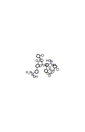 COC(=O)[C@@H]1CC[C@H](c2ccccc2Cl)N1C(=O)c1ccccc1-c1cccc(/C(N)=N\O)c1.N/C(=N/O)c1cccc(-c2ccc(C(=O)N3[C@@H](c4ccccc4Cl)CC[C@H]3C(=O)O)cc2)c1